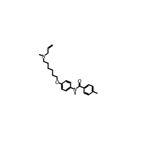 C=CCN(C)CCCCCCOc1ccc(N(C)C(=O)c2ccc(C)cc2)cc1